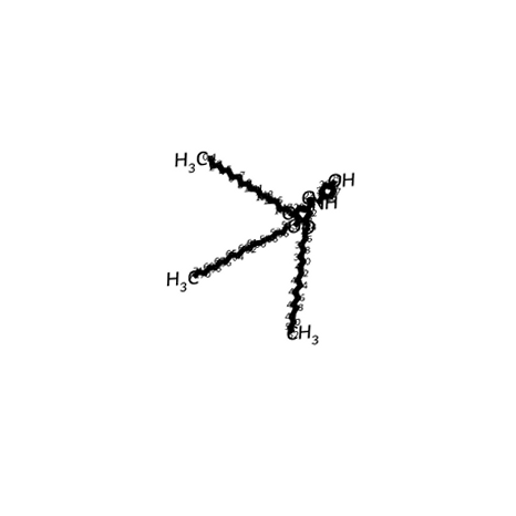 CCCCCCCCCCCCCCCCCCOc1cc(C(=O)Nc2ccc(O)cc2)cc(OCCCCCCCCCCCCCCCCCC)c1OCCCCCCCCCCCCCCCCCC